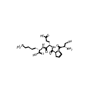 NCCCC[C@H](NC(=O)[C@H](CCC(=O)O)NC(=O)[C@@H]1CCCN1C(=O)[C@@H](N)CO)C(=O)O